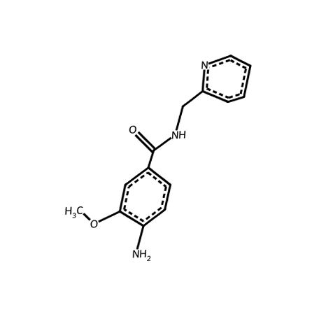 COc1cc(C(=O)NCc2ccccn2)ccc1N